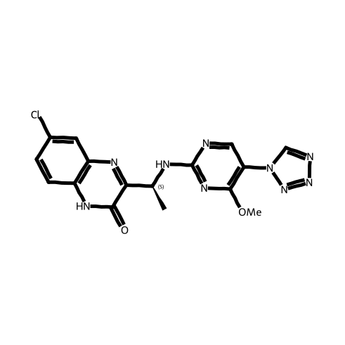 COc1nc(N[C@@H](C)c2nc3cc(Cl)ccc3[nH]c2=O)ncc1-n1cnnn1